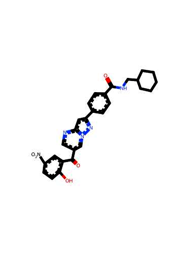 O=C(NCC1CCCCC1)c1ccc(-c2cc3ncc(C(=O)c4cc([N+](=O)[O-])ccc4O)cn3n2)cc1